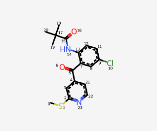 CSc1cc(C(=O)c2cc(Cl)ccc2NC(=O)C(C)(C)C)ccn1